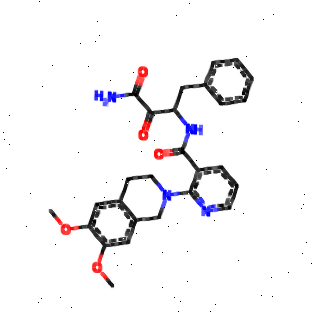 COc1cc2c(cc1OC)CN(c1ncccc1C(=O)NC(Cc1ccccc1)C(=O)C(N)=O)CC2